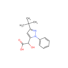 CC(C)(C)c1cc(C(O)C(=O)O)n(-c2ccccc2)n1